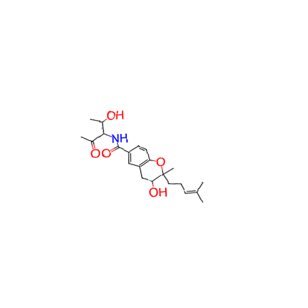 CC(=O)C(NC(=O)c1ccc2c(c1)CC(O)C(C)(CCC=C(C)C)O2)C(C)O